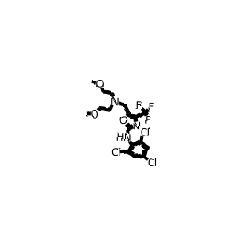 COCCN(CCOC)Cc1oc(Nc2c(Cl)cc(Cl)cc2Cl)nc1C(F)(F)F